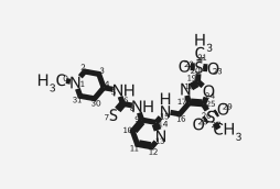 CN1CCC(NC(=S)Nc2cccnc2NCc2nc(S(C)(=O)=O)oc2S(C)(=O)=O)CC1